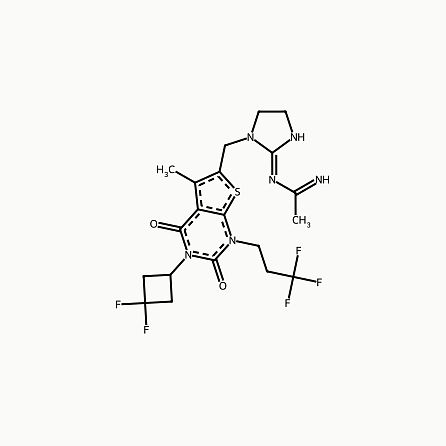 CC(=N)/N=C1\NCCN1Cc1sc2c(c1C)c(=O)n(C1CC(F)(F)C1)c(=O)n2CCC(F)(F)F